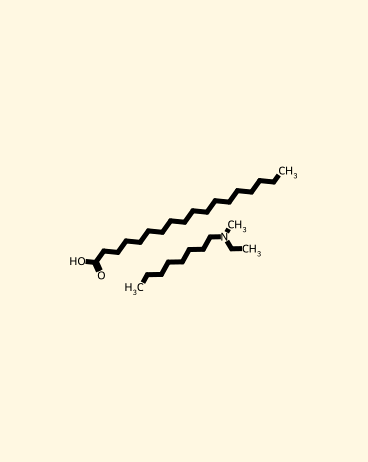 CCCCCCCCCCCCCCCCCC(=O)O.CCCCCCCCN(C)CC